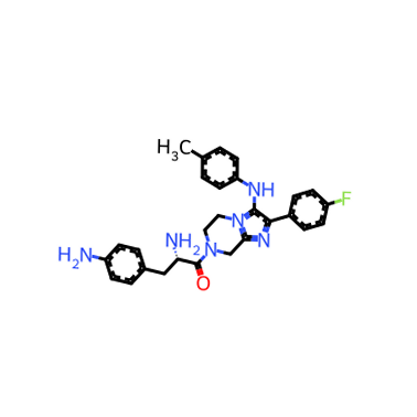 Cc1ccc(Nc2c(-c3ccc(F)cc3)nc3n2CCN(C(=O)[C@@H](N)Cc2ccc(N)cc2)C3)cc1